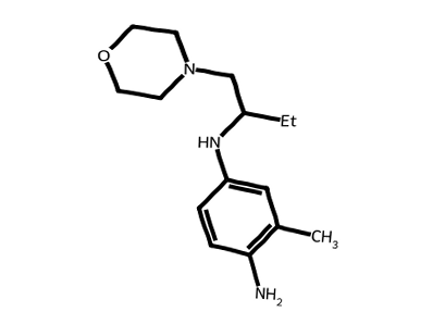 CCC(CN1CCOCC1)Nc1ccc(N)c(C)c1